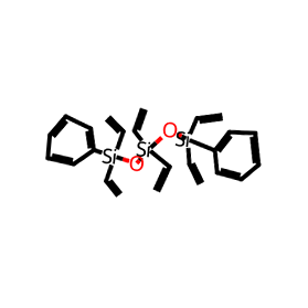 C=C[Si](C=C)(O[Si](C=C)(C=C)c1ccccc1)O[Si](C=C)(C=C)c1ccccc1